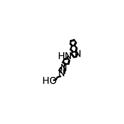 OCCCN1CCN(c2ccc(Nc3ccnc4cc5ccccc5cc34)cc2)CC1